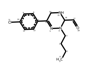 CCCCN1N=C(c2ccc(Cl)cc2)CNC1C=O